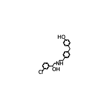 Oc1ccc(Cc2ccc(CCNC[C@@H](O)c3cccc(Cl)c3)cc2)cc1